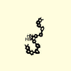 Cc1cc2ccc3ccc(-c4cccc(-c5cccc(-c6ccc7c(c6)-c6cc(-c8cccc(-c9cccc(-c%10ccc%11ccc%12cc(C)c(C)cc%12c%11c%10)c9)c8)ccc6C(=N)C7=N)c5)c4)cc3c2cc1C